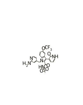 CS(=O)(=O)NC(=O)c1c(-c2ccc[nH]c2=O)c2cc(OC(F)(F)F)ccc2n1Cc1ccnc(N)c1